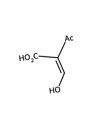 CC(=O)/C(=C/O)C(=O)O